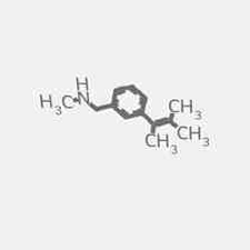 CNCc1cccc(C(C)=C(C)C)c1